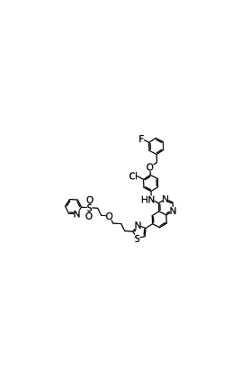 O=S(=O)(CCOCCCc1nc(-c2ccc3ncnc(Nc4ccc(OCc5cccc(F)c5)c(Cl)c4)c3c2)cs1)c1ccccn1